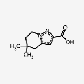 CC1(C)CCn2nc(C(=O)O)cc2C1